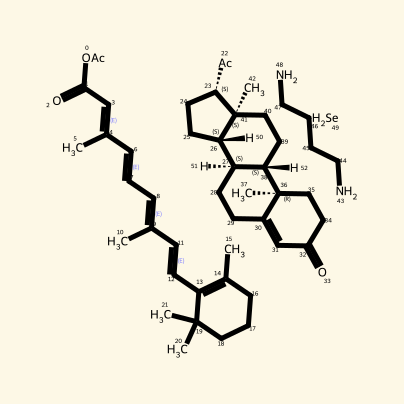 CC(=O)OC(=O)/C=C(C)/C=C/C=C(C)/C=C/C1=C(C)CCCC1(C)C.CC(=O)[C@H]1CC[C@H]2[C@@H]3CCC4=CC(=O)CC[C@]4(C)[C@H]3CC[C@]12C.NCCCCN.[SeH2]